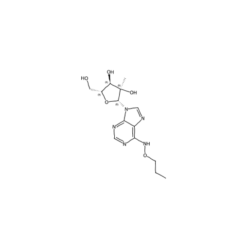 CCCONc1ncnc2c1ncn2[C@@H]1O[C@H](CO)[C@@H](O)[C@@]1(C)O